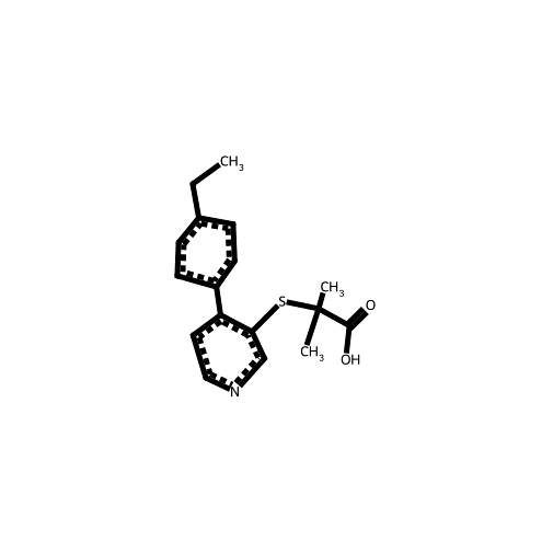 CCc1ccc(-c2ccncc2SC(C)(C)C(=O)O)cc1